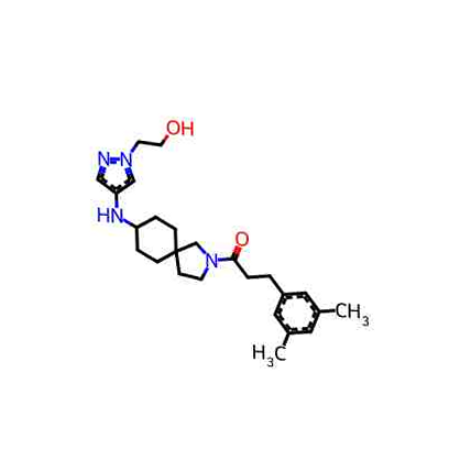 Cc1cc(C)cc(CCC(=O)N2CCC3(CCC(Nc4cnn(CCO)c4)CC3)C2)c1